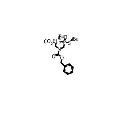 CCOC(=O)CN(CP(=O)(SC(C)CC)SC(C)CC)C(=O)OCc1ccccc1